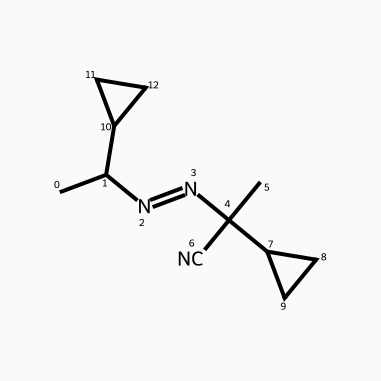 CC(N=NC(C)(C#N)C1CC1)C1CC1